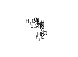 Cc1cc(NC(=O)c2nnn(-c3ccc(C(=O)NCC(F)(F)F)cc3)c2CCCCCF)no1